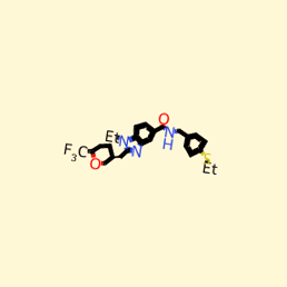 CCSc1ccc(CNC(=O)c2ccc3c(c2)nc(C[C@@H]2CCC(C(F)(F)F)OC2)n3CC)cc1